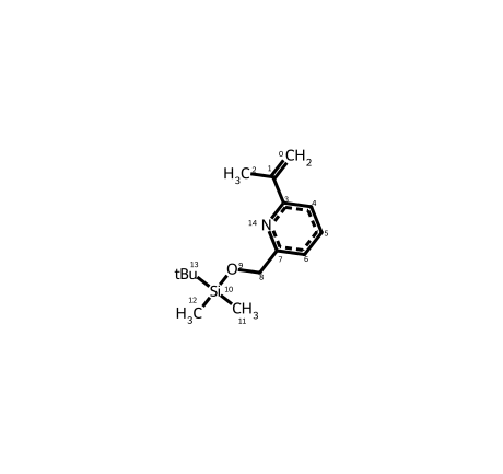 C=C(C)c1cccc(CO[Si](C)(C)C(C)(C)C)n1